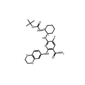 CC(C)(C)OC(=O)N[C@H]1CCCC[C@H]1Nc1nc(Nc2ccc3c(c2)OCCO3)c(C(N)=O)cc1F